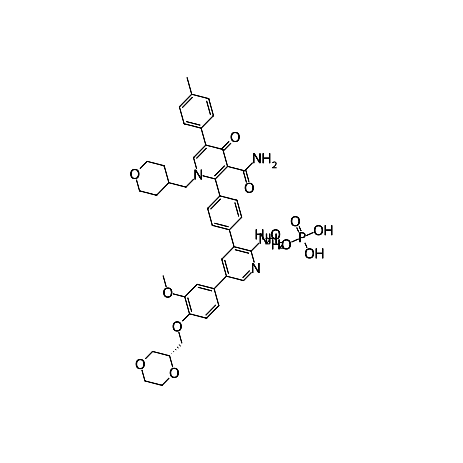 COc1cc(-c2cnc(N)c(-c3ccc(-c4c(C(N)=O)c(=O)c(-c5ccc(C)cc5)cn4CC4CCOCC4)cc3)c2)ccc1OC[C@H]1COCCO1.O.O=P(O)(O)O